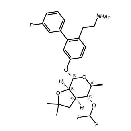 CC(=O)NCCc1ccc(O[C@@H]2O[C@@H](C)[C@H](OC(F)F)[C@H]3CC(C)(C)O[C@@H]23)cc1-c1cccc(F)c1